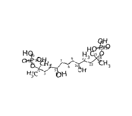 CC(C)(CCC(O)CCCC(O)CCC(C)(C)OP(=O)(O)O)OP(=O)(O)O